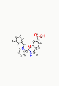 Cc1cccc(CN2CCCC[C@@H]2C(=O)N[C@@H](C)c2ccc(C(=O)O)cc2)c1